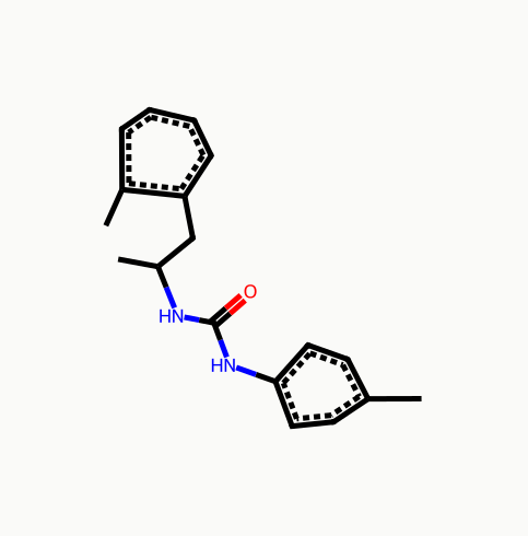 Cc1ccc(NC(=O)NC(C)Cc2ccccc2C)cc1